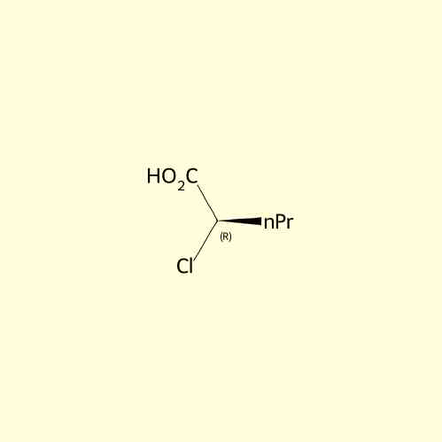 CCC[C@@H](Cl)C(=O)O